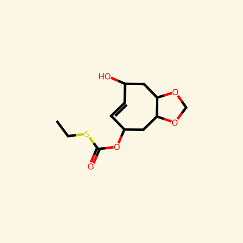 CCSC(=O)OC1/C=C/C(O)CC2OCOC2C1